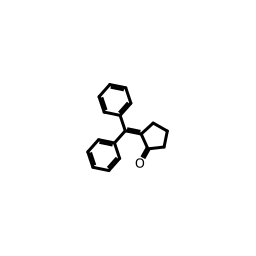 O=C1CCCC1=C(c1ccccc1)c1ccccc1